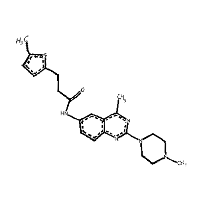 Cc1ccc(CCC(=O)Nc2ccc3nc(N4CCN(C)CC4)nc(C)c3c2)s1